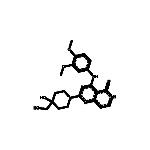 COc1ccc(Nc2nc(N3CCC(O)(CO)CC3)nc3cc[nH]c(=O)c23)cc1OC